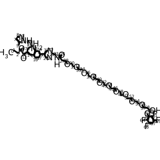 CCCN(OCc1ccn[nH]1)C(=O)C1=Cc2ccc(-c3cnc(CNC(=O)CCOCCOCCOCCOCCOCCOCCOCCOCCOCCOCCC(O)Oc4c(F)c(F)cc(F)c4F)nc3)cc2N=C(N)C1